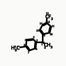 C[C](c1ccc(C)cc1)c1ccc(C(F)(F)F)cc1